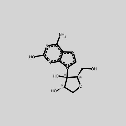 Nc1nc(O)nc2c1ncn2[C@@]1(O)[C@@H](O)CO[C@@H]1CO